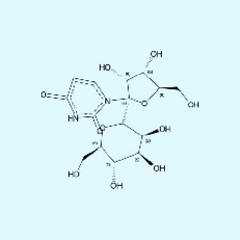 O=c1ccn([C@]2(C3O[C@H](CO)[C@@H](O)[C@H](O)[C@@H]3O)O[C@H](CO)[C@@H](O)[C@H]2O)c(=O)[nH]1